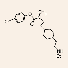 CCNCC[C@H]1CC[C@H](CCN(C)C(=O)Oc2ccc(Cl)cc2)CC1